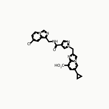 O=C(NCc1ncn2ccc(Cl)cc12)c1cnn(Cc2cn3cc(C4CC4)cc(C(=O)O)c3n2)c1